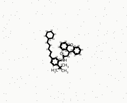 CC(C)(C)c1ccc(CCCCCC2CCCCC2)cc1NC(=O)CC1c2ccccc2Oc2ccccc21